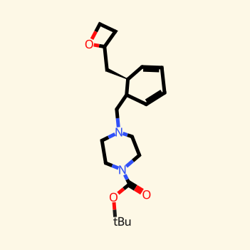 CC(C)(C)OC(=O)N1CCN(CC2C=CC=C[C@@H]2CC2CCO2)CC1